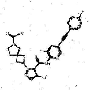 Cc1cc(C#Cc2ccc(F)cc2)cnc1NC(=O)c1c(Cl)cnn1C1CC2(CCN(C(=O)C(C)C)C2)C1